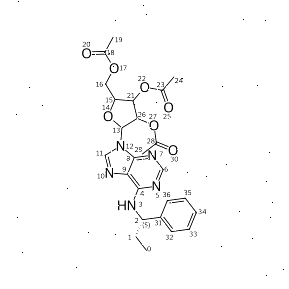 CC[C@H](Nc1ncnc2c1ncn2C1OC(COC(C)=O)C(OC(C)=O)C1OC(C)=O)c1ccccc1